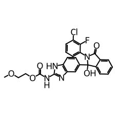 COCCOC(=O)Nc1nc2cc(C3(O)c4ccccc4C(=O)N3c3cccc(Cl)c3F)ccc2[nH]1